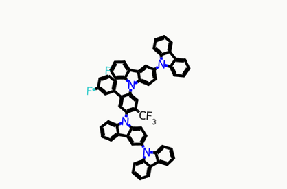 Fc1cc(F)cc(-c2cc(-n3c4ccccc4c4cc(-n5c6ccccc6c6ccccc65)ccc43)c(C(F)(F)F)cc2-n2c3ccccc3c3cc(-n4c5ccccc5c5ccccc54)ccc32)c1